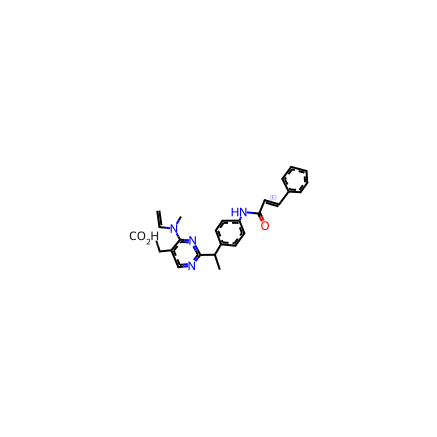 C=CN(C)c1nc(C(C)c2ccc(NC(=O)/C=C/c3ccccc3)cc2)ncc1CC(=O)O